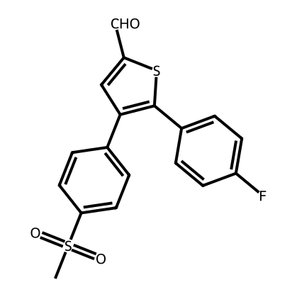 CS(=O)(=O)c1ccc(-c2cc(C=O)sc2-c2ccc(F)cc2)cc1